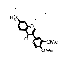 COc1ccc(-c2coc3cc(C)ccc3c2=O)cc1OC